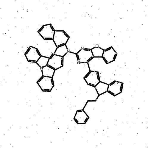 c1ccc(CCC2c3ccccc3-c3cc(-c4nc(-n5c6ccc7ccccc7c6c6c7c8ccccc8n8c9ccccc9c(cc65)c78)nc5oc6ccccc6c45)ccc32)cc1